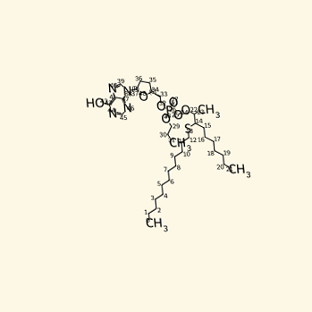 CCCCCCCCCCCCCSC(CCCCCCC)C(C)OOP(=O)(OCCC)OC[C@@H]1CC[C@H](n2cnc3c(O)ncnc32)O1